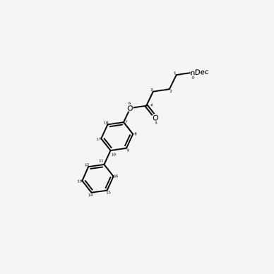 CCCCCCCCCCCCCC(=O)Oc1ccc(-c2ccccc2)cc1